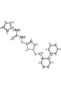 O=C(NCC1=NOC(COc2ccccc2-c2ccccc2)C1)Nc1nncs1